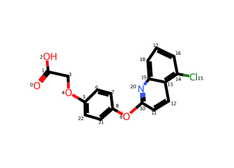 O=C(O)COc1ccc(Oc2ccc3c(Cl)cccc3n2)cc1